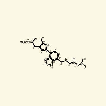 CCCCCCCCC(C)Cc1cc(-c2ccc(CCCNSN(C)C)c3nsnc23)sc1C